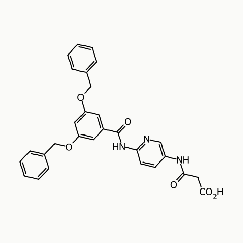 O=C(O)CC(=O)Nc1ccc(NC(=O)c2cc(OCc3ccccc3)cc(OCc3ccccc3)c2)nc1